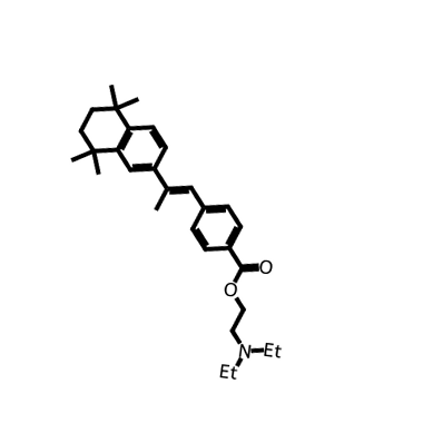 CCN(CC)CCOC(=O)c1ccc(/C=C(\C)c2ccc3c(c2)C(C)(C)CCC3(C)C)cc1